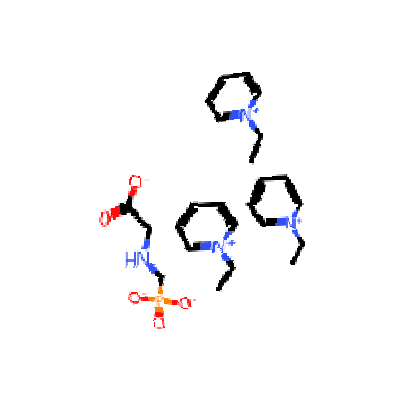 CC[n+]1ccccc1.CC[n+]1ccccc1.CC[n+]1ccccc1.O=C([O-])CNCP(=O)([O-])[O-]